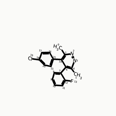 Cc1nnc(C)c(-c2ccccc2F)c1-c1ccc(Cl)cc1